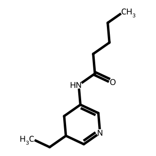 CCCCC(=O)NC1=CN=CC(CC)C1